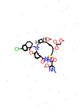 COCC(=O)O[C@H]1/C=C/[C@H](OC)[C@@H]2CC[C@H]2CN2C[C@@]3(CCCc4cc(Cl)ccc43)COc3ccc(cc32)C(=O)N=S(=O)(NC(=O)c2cn(C)nc2OC)C[C@H]1C